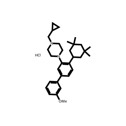 COc1cccc(-c2ccc(C3CC(C)(C)CC(C)(C)C3)c(N3CCN(CC4CC4)CC3)c2)c1.Cl